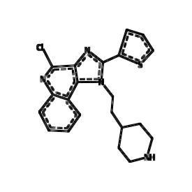 Clc1nc2ccccc2c2c1nc(-c1cccs1)n2CCC1CCNCC1